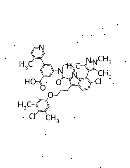 Cc1ccncc1-c1cc(C(=O)O)cc(N2CCCn3c(c(CCCOc4cc(C)c(Cl)c(C)c4)c4ccc(Cl)c(-c5c(C)nn(C)c5C)c43)C2=O)c1